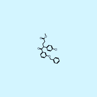 COC(=O)CCC(C(=O)c1cccc(OCc2ccccc2)c1)c1ccc(Cl)cc1